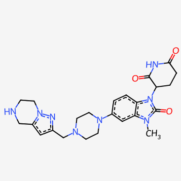 Cn1c(=O)n(C2CCC(=O)NC2=O)c2ccc(N3CCN(Cc4cc5n(n4)CCNC5)CC3)cc21